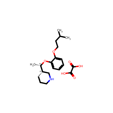 CC(C)CCOc1ccccc1O[C@@H](C)[C@H]1CCCNC1.O=C(O)C(=O)O